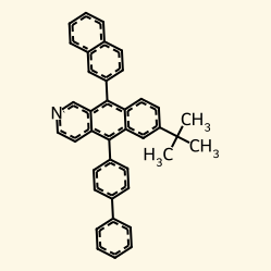 CC(C)(C)c1ccc2c(-c3ccc4ccccc4c3)c3cnccc3c(-c3ccc(-c4ccccc4)cc3)c2c1